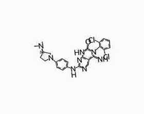 CN(C)[C@@H]1CCN(c2ccc(Nc3ncc4c(=N)n(-c5c(Cl)cccc5Cl)c(=O)[nH]c4n3)cc2)C1